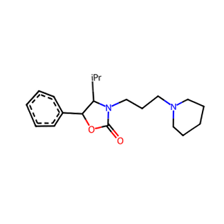 CC(C)C1C(c2ccccc2)OC(=O)N1CCCN1CCCCC1